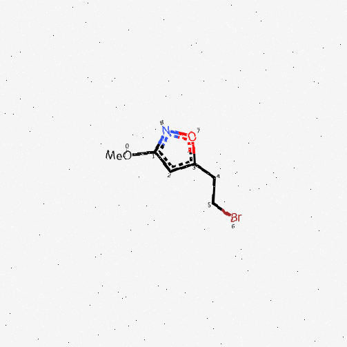 COc1cc(CCBr)on1